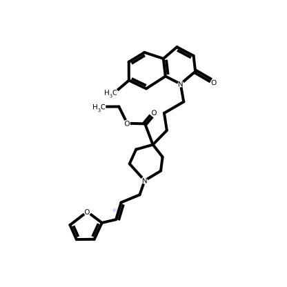 CCOC(=O)C1(CCCn2c(=O)ccc3ccc(C)cc32)CCN(C/C=C/c2ccco2)CC1